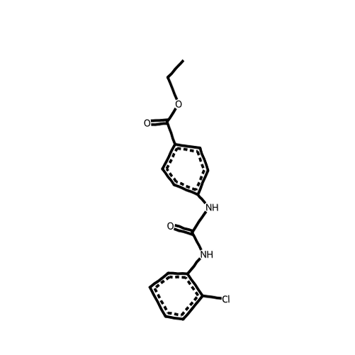 CCOC(=O)c1ccc(NC(=O)Nc2ccccc2Cl)cc1